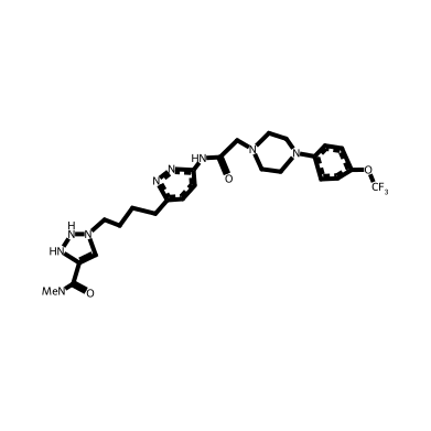 CNC(=O)C1=CN(CCCCc2ccc(NC(=O)CN3CCN(c4ccc(OC(F)(F)F)cc4)CC3)nn2)NN1